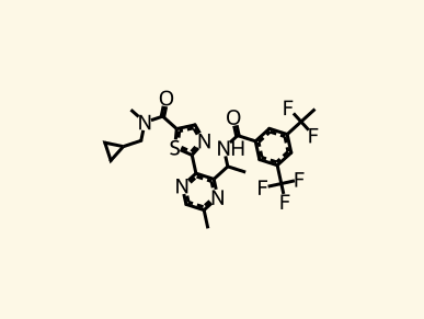 Cc1cnc(-c2ncc(C(=O)N(C)CC3CC3)s2)c(C(C)NC(=O)c2cc(C(C)(F)F)cc(C(F)(F)F)c2)n1